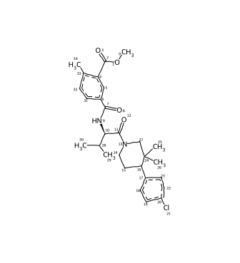 COC(=O)c1cc(C(=O)N[C@@H](C(=O)N2CCC(c3ccc(Cl)cc3)C(C)(C)C2)C(C)C)ccc1C